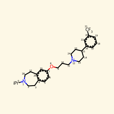 CC(C)N1CCc2ccc(OCCCN3CCC(c4cccc(C(F)(F)F)c4)CC3)cc2CC1